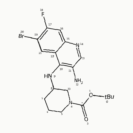 CC(C)(C)OC(=O)N1CCCC(Nc2c(N)cnc3cc(F)c(Br)cc23)C1